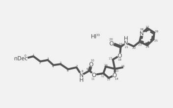 CCCCCCCCCCCCCCCCCNC(=O)OC1COC(C)(COC(=O)NCc2ccccn2)C1.I